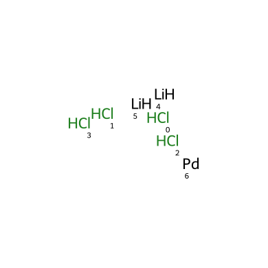 Cl.Cl.Cl.Cl.[LiH].[LiH].[Pd]